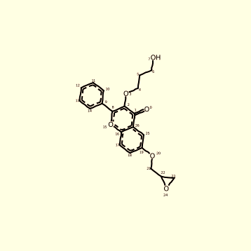 O=c1c(OCCCO)c(-c2ccccc2)oc2ccc(OCC3CO3)cc12